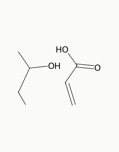 C=CC(=O)O.CCC(C)O